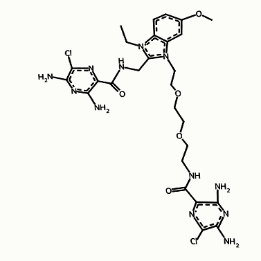 CC[n+]1c(CNC(=O)c2nc(Cl)c(N)nc2N)n(CCOCCOCCNC(=O)c2nc(Cl)c(N)nc2N)c2cc(OC)ccc21